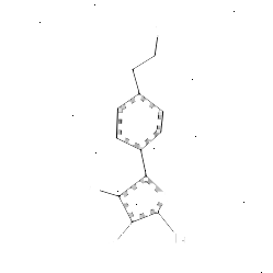 SCCc1ccc(-c2sc(Br)c(Br)c2Br)cc1